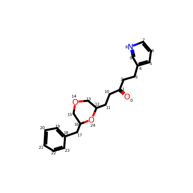 O=C(CCc1cccnc1)CCC1COCC(Cc2ccccc2)O1